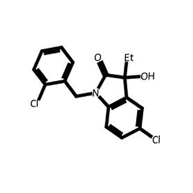 CCC1(O)C(=O)N(Cc2ccccc2Cl)c2ccc(Cl)cc21